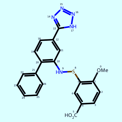 COc1ccc(C(=O)O)cc1SNc1cc(-c2nnn[nH]2)ccc1-c1ccccc1